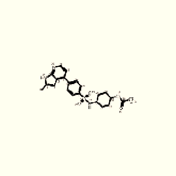 Cc1cc2c(-c3ccc(S(=O)(=O)NC4CCC(OC(=O)C(F)(F)F)CC4)cc3)ccnc2[nH]1